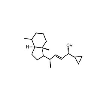 CC1CCC[C@]2(C)C([C@H](C)/C=C/[C@@H](O)C3CC3)CC[C@@H]12